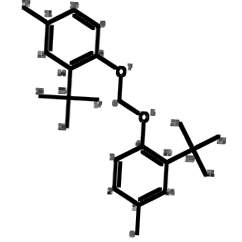 Cc1ccc(OCOc2ccc(C)cc2C(C)(C)C)c(C(C)(C)C)c1